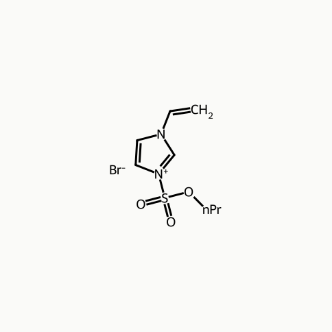 C=Cn1cc[n+](S(=O)(=O)OCCC)c1.[Br-]